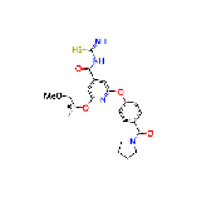 COC[C@@H](C)Oc1cc(C(=O)NC(=N)S)cc(Oc2ccc(C(=O)N3CCCC3)cc2)n1